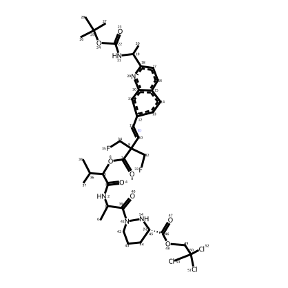 CC(NC(=O)C(OC(=O)C(/C=C/c1ccc2ccc(C(C)NC(=O)OC(C)(C)C)nc2c1)(CF)CF)C(C)C)C(=O)N1CCC[C@@H](C(=O)OCC(Cl)(Cl)Cl)N1